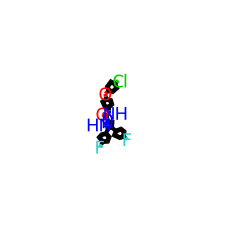 O=C(Nc1ccc(Oc2ccc(Cl)cc2)cc1)N1CC(c2ccc(F)cc2)=C(c2ccc(F)cc2)N1